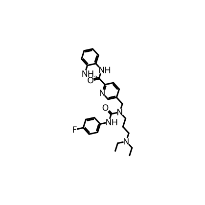 CCN(CC)CCCN(Cc1ccc(C(=O)Nc2ccccc2N)nc1)C(=O)Nc1ccc(F)cc1